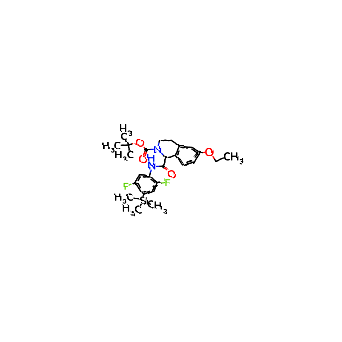 CCOc1ccc2c(c1)CCN(C(=O)OC(C)(C)C)C2C(=O)Nc1cc(F)c([Si](C)(C)C)cc1F